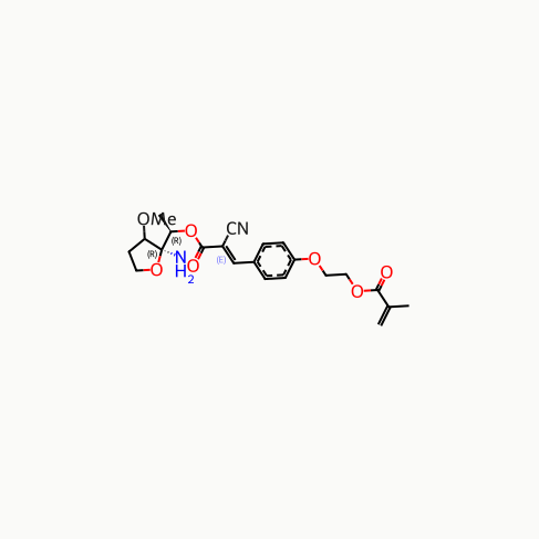 C=C(C)C(=O)OCCOc1ccc(/C=C(\C#N)C(=O)O[C@H](C)[C@@]2(N)OCCC2OC)cc1